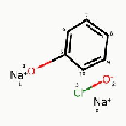 [Na+].[Na+].[O-]Cl.[O-]c1ccccc1